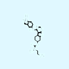 CCN(CCC#N)C(=O)OC1CCc2c(sc3ncnc(Nc4ccc5[nH]ncc5c4)c23)C1